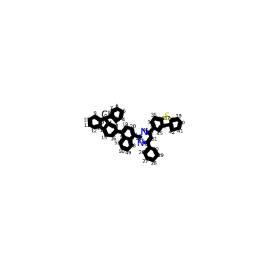 CC1(c2ccccc2)c2ccccc2-c2ccc(-c3ccc(-c4nc(-c5ccccc5)cc(-c5ccc6sc7ccccc7c6c5)n4)c4ccccc34)cc21